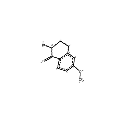 O=C1c2ccc(OC(F)(F)F)cc2CCC1Br